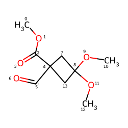 COC(=O)C1([C]=O)CC(OC)(OC)C1